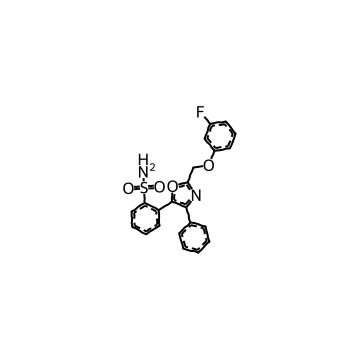 NS(=O)(=O)c1ccccc1-c1oc(COc2cccc(F)c2)nc1-c1ccccc1